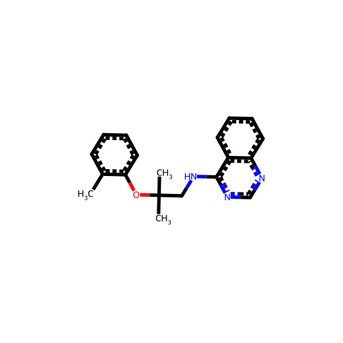 Cc1ccccc1OC(C)(C)CNc1ncnc2ccccc12